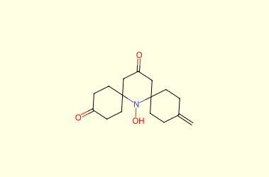 C=C1CCC2(CC1)CC(=O)CC1(CCC(=O)CC1)N2O